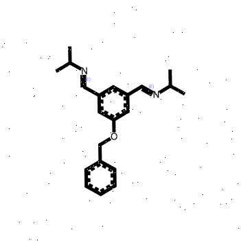 CC(C)/N=C/c1cc(/C=N/C(C)C)cc(OCc2ccccc2)c1